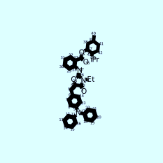 CCN1C(=O)/C(=C\c2ccc(N(c3ccccc3)c3ccccc3)cc2)OC1=Nc1ccccc1C(=O)OC1CC(C)CCC1C(C)C